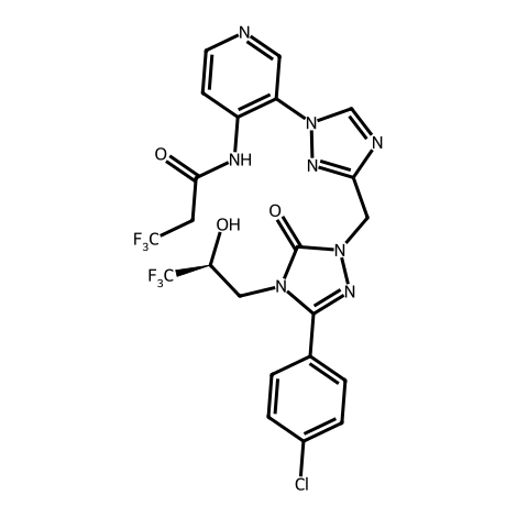 O=C(CC(F)(F)F)Nc1ccncc1-n1cnc(Cn2nc(-c3ccc(Cl)cc3)n(C[C@H](O)C(F)(F)F)c2=O)n1